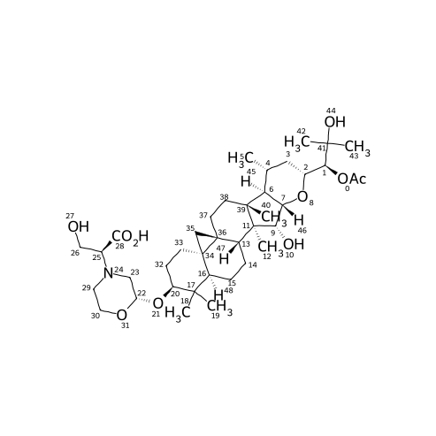 CC(=O)O[C@@H]([C@H]1C[C@@H](C)[C@H]2[C@H](O1)[C@H](O)[C@@]1(C)[C@@H]3CC[C@H]4C(C)(C)[C@@H](O[C@H]5CN([C@@H](CO)C(=O)O)CCO5)CC[C@@]45C[C@@]35CC[C@]21C)C(C)(C)O